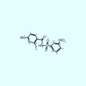 CC(C)(C)c1ccc(C(=O)NS(=O)(=O)c2cccc([N+](=O)[O-])n2)c(F)n1